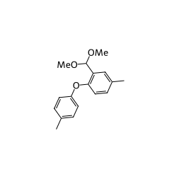 COC(OC)c1cc(C)ccc1Oc1ccc(C)cc1